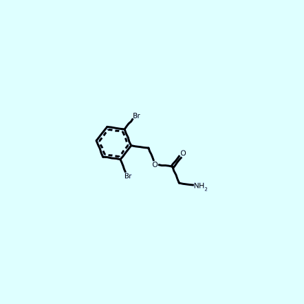 NCC(=O)OCc1c(Br)cccc1Br